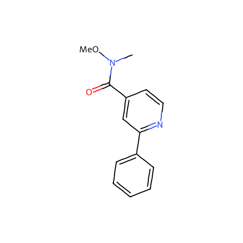 CON(C)C(=O)c1ccnc(-c2ccccc2)c1